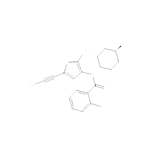 Cc1ccccc1C(=O)N(c1cc(C#CC(C)(C)C)sc1C(=O)O)[C@H]1CC[C@H](O)CC1